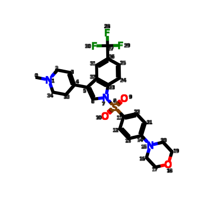 CN1CC=C(c2cn(S(=O)(=O)c3ccc(N4CCOCC4)cc3)c3ccc(C(F)(F)F)cc23)CC1